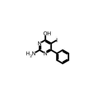 Nc1nc(O)c(I)c(-c2ccccc2)n1